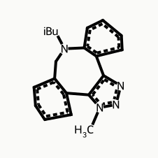 CCC(C)N1Cc2ccccc2-c2c(nnn2C)-c2ccccc21